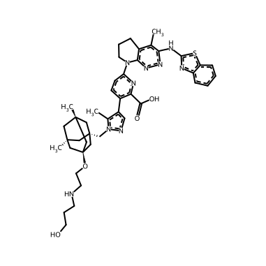 Cc1c(Nc2nc3ccccc3s2)nnc2c1CCCN2c1ccc(-c2cnn(C[C@]34C[C@]5(C)C[C@](C)(C3)C[C@@](OCCNCCCO)(C5)C4)c2C)c(C(=O)O)n1